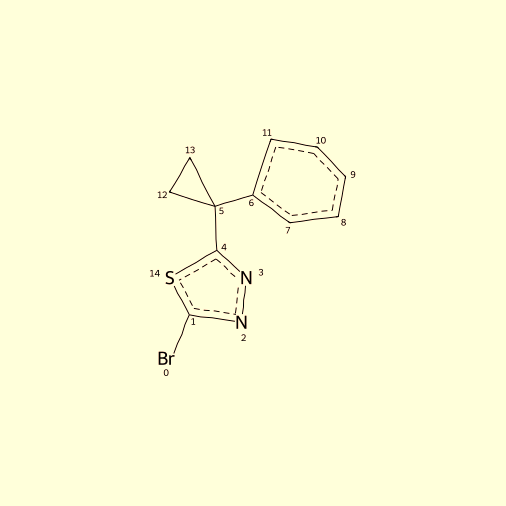 Brc1nnc(C2(c3ccccc3)CC2)s1